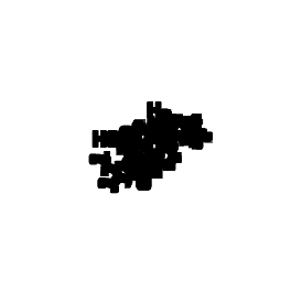 CCCCC(CC)CNC(=O)[C@@H](CC1CCCCC1)NC(=O)N(CC(=O)O)c1ccc(NS(=O)(=O)c2ccc(C(C)(C)C)cc2)cc1